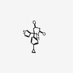 O=C1CC(=O)NC(c2ccc(C3CC3)cc2)(c2ccsc2)C1